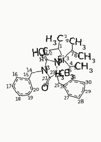 CC(C)[Si](C(C)C)(C(C)C)N1C(=O)N(Cc2ccccc2)C(=O)C1(C)Cc1ccccc1